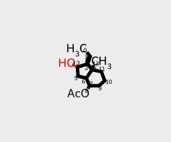 CC=C1C(O)CC2C(OC(C)=O)CCCC12C